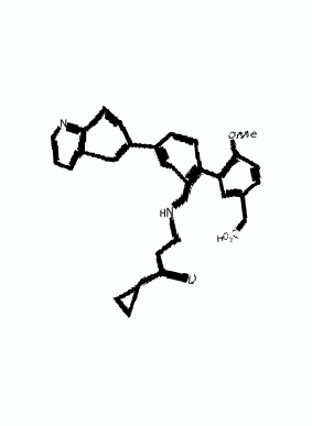 COc1ccc(CC(=O)O)cc1-c1ccc(-c2ccc3ncccc3c2)cc1CNCCC(=O)C1CC1